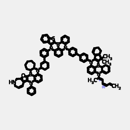 C=C/C=C\C=C(/C)N1C2=CC=CCC2B2C3=C(C4=C(CCC=C4)C3(C)C)N(c3ccc(-c4ccc(N5c6ccccc6B6c7sc8ccccc8c7N(c7cccc(C8=CC(N9c%10cccc%11c%10B(c%10oc%12c(c%10N%11c%10ccccc%10)C=CCNC%12)C%10CCCCCC%109)CC=C8)c7)c7cccc5c76)cc4)cc3)c3cccc1c32